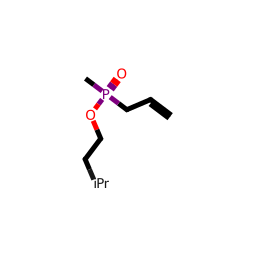 C=CCP(C)(=O)OCCC(C)C